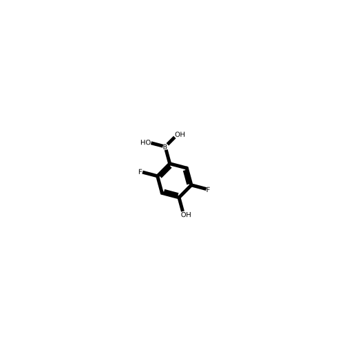 OB(O)c1cc(F)c(O)cc1F